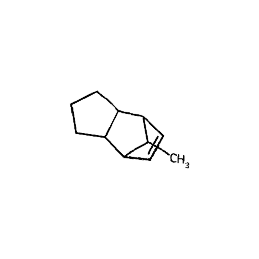 CC1C2C=CC1C1CCCC21